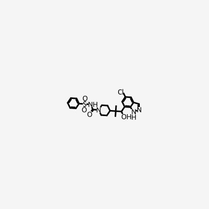 CC(C)(C1CCN(C(=O)NS(=O)(=O)c2ccccc2)CC1)C(O)c1cc(Cl)cc2cn[nH]c12